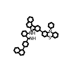 N=C(c1ccc(-c2cccc3ccccc23)cc1)c1ccccc1Nn1c2cc(-c3ccc4c(c3)N(c3ccccc3)c3ccccc3S4)ccc2c2c3ccccc3ccc21